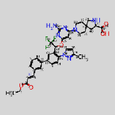 CCOC(=O)/C=C/c1cccc(-c2ccc(-n3ccc(C)n3)c(C(Oc3cc(N4CCC5(CC4)CNC(C(=O)O)C5)nc(N)n3)C(F)(F)F)c2)c1